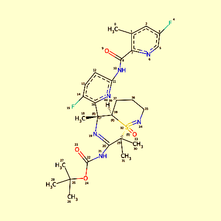 Cc1cc(F)cnc1C(=O)Nc1ccc(F)c([C@@]2(C)N=C(NC(=O)OC(C)(C)C)C(C)(C)[S@@]3(=O)=NCCC[C@H]23)n1